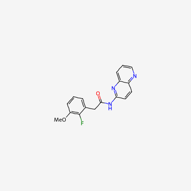 COc1cccc(CC(=O)Nc2ccc3ncccc3n2)c1F